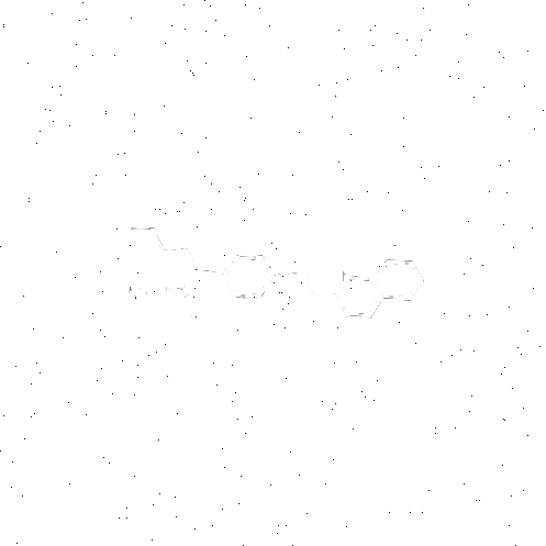 CC=CCC(C(=O)OC)c1ccc(OCc2ccc3ccccc3n2)cc1